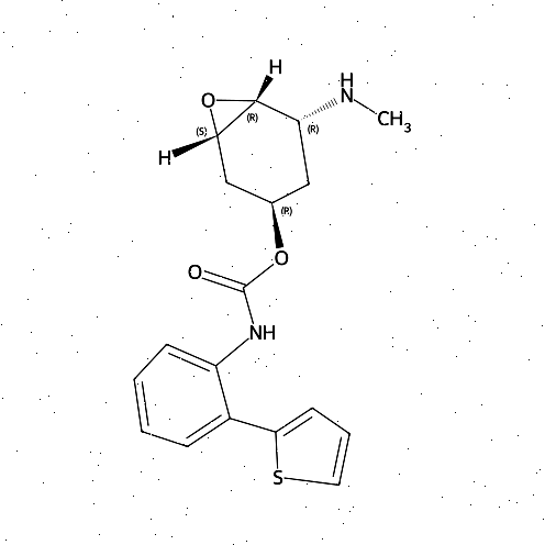 CN[C@@H]1C[C@@H](OC(=O)Nc2ccccc2-c2cccs2)C[C@@H]2O[C@@H]21